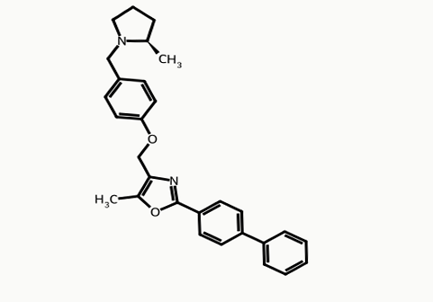 Cc1oc(-c2ccc(-c3ccccc3)cc2)nc1COc1ccc(CN2CCC[C@H]2C)cc1